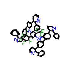 Fc1c(F)c(F)c(-c2cc(-n3c4cc(-c5cccnc5-c5ccccc5)ccc4c4ccc(-c5cccnc5-c5ccccc5)cc43)c(C(F)(F)F)cc2-n2c3cc(-c4cccnc4-c4ccccc4)ccc3c3ccc(-c4cccnc4-c4ccccc4)cc32)c(F)c1F